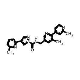 Cc1cc(-c2ncc(CNC(=O)n3cc(-c4cccc(C)n4)cn3)cc2C)ccn1